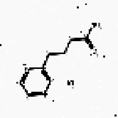 Cl.NC(=O)CCCc1ccccn1